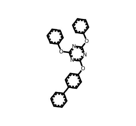 c1ccc(Oc2nc(Oc3ccccc3)nc(Oc3ccc(-c4ccccc4)cc3)n2)cc1